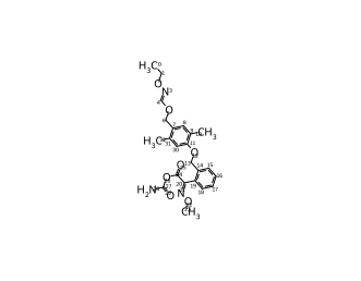 CCO/N=C/OCc1cc(C)c(OCc2ccccc2/C(=N\OC)C(=O)OC(N)=O)cc1C